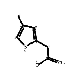 Cc1csc(CC(=O)Cl)c1